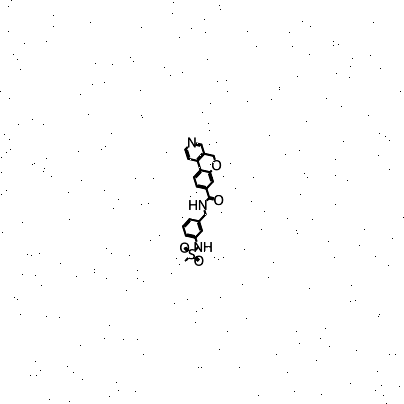 CS(=O)(=O)Nc1cccc(CNC(=O)c2ccc3c(c2)OCc2cnccc2-3)c1